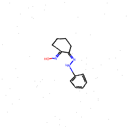 O/N=C1\CCCC\C1=N\Nc1ccccc1